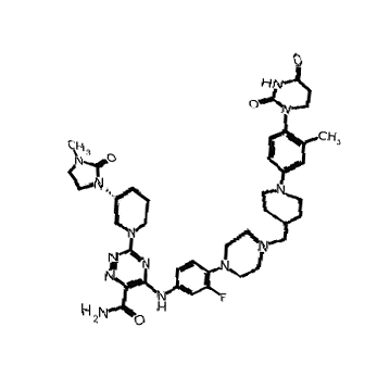 Cc1cc(N2CCC(CN3CCN(c4ccc(Nc5nc(N6CCC[C@@H](N7CCN(C)C7=O)C6)nnc5C(N)=O)cc4F)CC3)CC2)ccc1N1CCC(=O)NC1=O